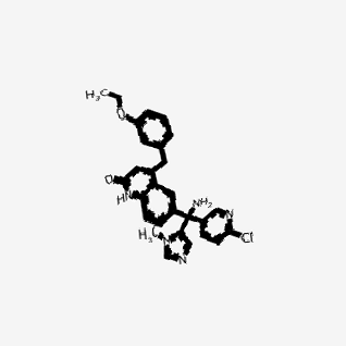 CCOc1cccc(Cc2cc(=O)[nH]c3ccc(C(N)(c4ccc(Cl)nc4)c4cncn4C)cc23)c1